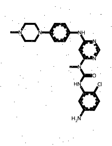 CN1CCN(c2ccc(Nc3cc(N(C)C(=O)Nc4cc(N)ccc4Cl)ncn3)cc2)CC1